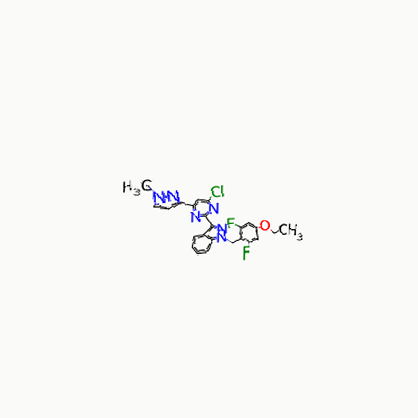 CCOc1cc(F)c(Cn2nc(-c3nc(Cl)cc(-c4ccn(C)n4)n3)c3ccccc32)c(F)c1